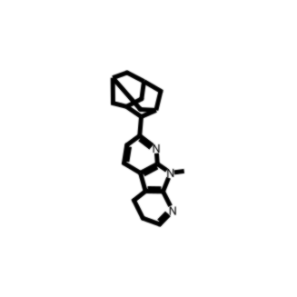 Cn1c2c(c3ccc(C4C5CC6CC(C5)CC4C6)nc31)CCC=N2